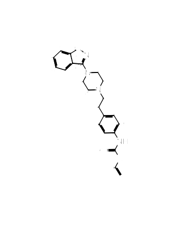 C=COC(=O)Nc1ccc(CCN2CCN(c3nsc4ccccc34)CC2)cc1